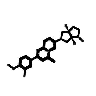 COc1ccc(-c2cc(=O)n3cc(N4C[C@H]5CCN(C)[C@H]5C4)ccc3n2)cc1F